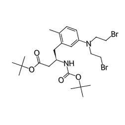 Cc1ccc(N(CCBr)CCBr)cc1C[C@H](CC(=O)OC(C)(C)C)NC(=O)OC(C)(C)C